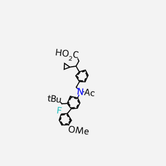 COc1ccc(F)c(-c2ccc(N(Cc3cccc(C(CC(=O)O)C4CC4)c3)C(C)=O)cc2CC(C)(C)C)c1